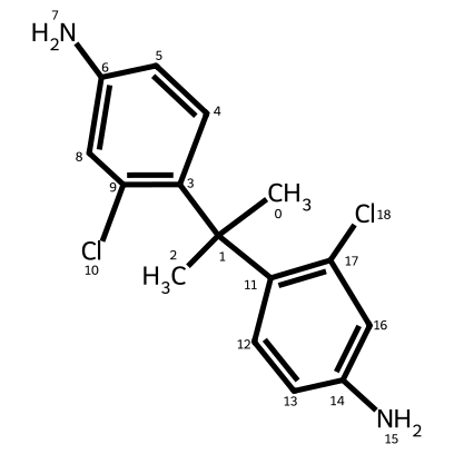 CC(C)(c1ccc(N)cc1Cl)c1ccc(N)cc1Cl